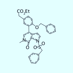 CCOC(=O)Cc1ccc(OCc2ccccc2)c(-c2cn(C)c(=O)c3c2ccn3S(=O)(=O)Cc2ccccc2)c1